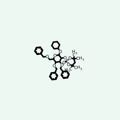 CC1(C)CC(C)(C)OP(=O)(OC2C(OC3CCCCC3)OC(COCc3ccccc3)C(OCc3ccccc3)C2OCc2ccccc2)O1